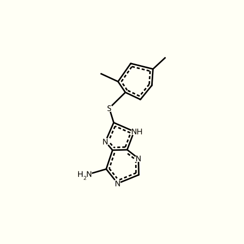 Cc1ccc(Sc2nc3c(N)ncnc3[nH]2)c(C)c1